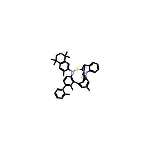 Cc1cc2c3c(c1)N1c4ccccc4/C(=C/C=C\3)C1SN(c1cc3c(cc1C)C(C)(C)CCC3(C)C)c1ccc(-c3ccccc3C)c(C)c1-2